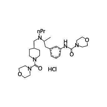 CCCN(CC1CCN(C(=O)N2CCOCC2)CC1)C(C)Cc1cccc(NC(=O)N2CCOCC2)c1.Cl